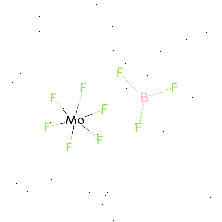 FB(F)F.[F][Mo]([F])([F])([F])([F])[F]